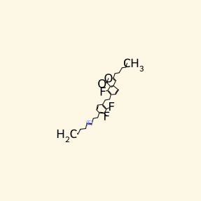 C=CCC/C=C/CCc1ccc(CCc2ccc3cc(CCCCC)oc(=O)c3c2F)c(F)c1F